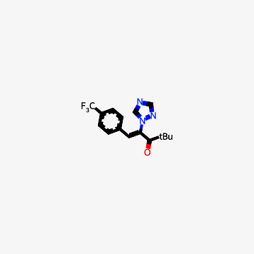 CC(C)(C)C(=O)/C(=C/c1ccc(C(F)(F)F)cc1)n1cncn1